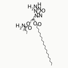 CCCCCCCCCCCCCCCCCCCC(=O)OC[C@H](CCOC(=O)[C@@H](N)[C@@H](C)CC)Cn1cnc2c(=O)[nH]c(N)nc21